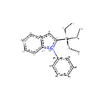 CC[Si](CC)(CC)c1cc2ccccc2n1-c1ccccc1